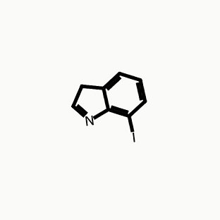 Ic1cccc2c1N=CC2